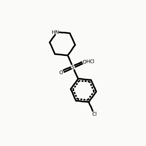 Cl.O=S(=O)(c1ccc(Cl)cc1)C1CCNCC1